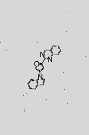 c1ccc2nc(-c3cc(-n4ccc5ccccc54)co3)ncc2c1